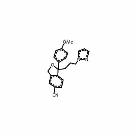 COc1ccc(C2(CCCn3cccn3)OCc3cc(C#N)ccc32)cc1